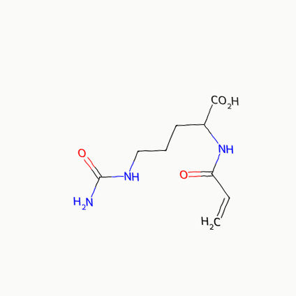 C=CC(=O)NC(CCCNC(N)=O)C(=O)O